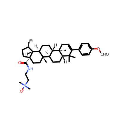 CC(C)[C@@H]1CC[C@]2(C(=O)NCC[N+](C)(C)[O-])CC[C@]3(C)[C@H](CC[C@@H]4[C@@]5(C)CC=C(c6ccc(OC=O)cc6)C(C)(C)[C@@H]5CC[C@]43C)[C@@H]12